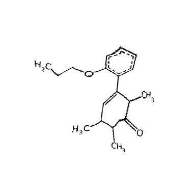 CCCOc1ccccc1C1=CC(C)C(C)C(=O)C1C